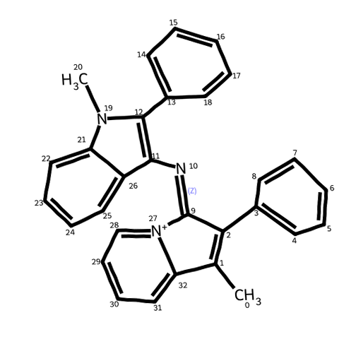 CC1=C(c2ccccc2)/C(=N/c2c(-c3ccccc3)n(C)c3ccccc23)[n+]2ccccc21